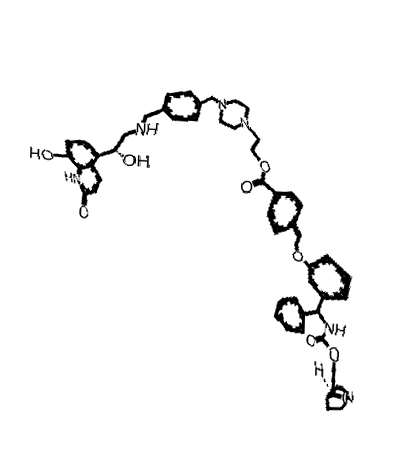 O=C(NC(c1ccccc1)c1cccc(OCc2ccc(C(=O)OCCN3CCN(Cc4ccc(CNC[C@H](O)c5ccc(O)c6[nH]c(=O)ccc56)cc4)CC3)cc2)c1)O[C@H]1CN2CCC1CC2